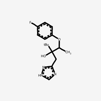 CC(Oc1ccc(F)cc1)C(O)(Cc1nc[nH]n1)C(C)(C)C